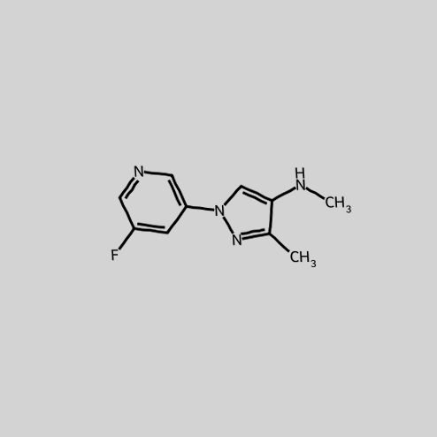 CNc1cn(-c2cncc(F)c2)nc1C